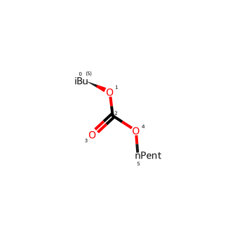 C[CH][C@H](C)OC(=O)OCCCCC